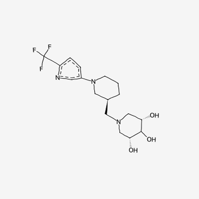 OC1[C@H](O)CN(C[C@@H]2CCCN(c3ccc(C(F)(F)F)nc3)C2)C[C@@H]1O